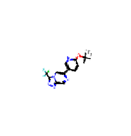 CC(C)(Oc1ccc(-c2cn3c(C(F)(F)Cl)nnc3cn2)cn1)C(F)(F)F